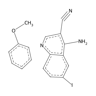 COc1ccccc1.N#Cc1cnc2ccc(I)cc2c1N